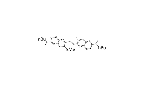 CCCCC(C)c1ccc2cc(/C=C/c3cc4ccc(C(C)CCCC)cc4cc3SC)c(C)cc2c1